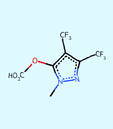 Cn1nc(C(F)(F)F)c(C(F)(F)F)c1OC(=O)O